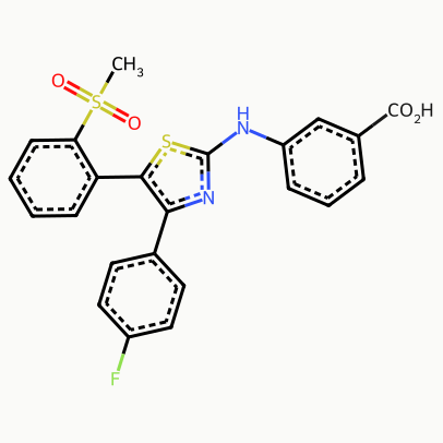 CS(=O)(=O)c1ccccc1-c1sc(Nc2cccc(C(=O)O)c2)nc1-c1ccc(F)cc1